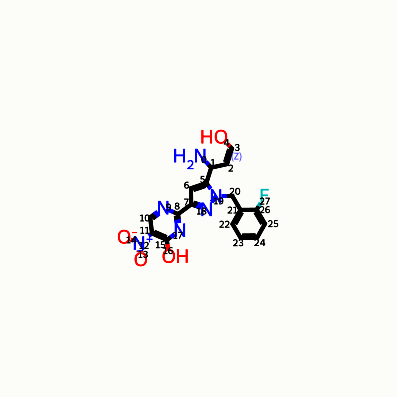 NC(/C=C\O)c1cc(-c2ncc([N+](=O)[O-])c(O)n2)nn1Cc1ccccc1F